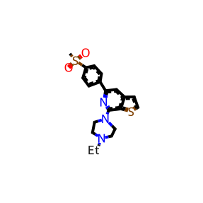 CCN1CCN(c2nc(-c3ccc(S(C)(=O)=O)cc3)cc3ccsc23)CC1